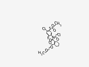 CCOCCOC(=O)C1=C(C(=O)N(C(=O)CCl)c2cc(SC(=O)OCC)c(Cl)cc2F)CCCC1